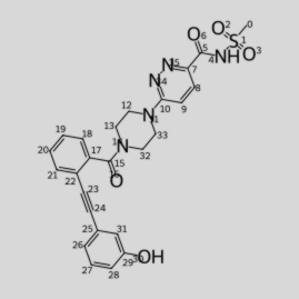 CS(=O)(=O)NC(=O)c1ccc(N2CCN(C(=O)c3ccccc3C#Cc3cccc(O)c3)CC2)nn1